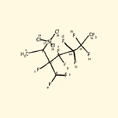 CC(C(F)(C(F)F)C(F)(F)C(F)(F)C(F)(F)C(F)(F)F)[Si](Cl)(Cl)Cl